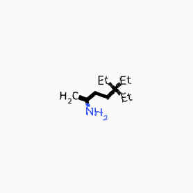 C=C(N)CCC(CC)(CC)CC